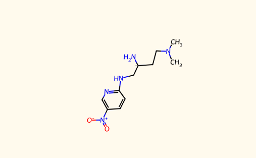 CN(C)CC[C](N)CNc1ccc([N+](=O)[O-])cn1